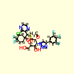 CO[C@@H]1[C@@H](n2cc(-c3cc(F)c(F)c(F)c3)nn2)[C@@H](O)[C@@H](CO)O[C@H]1SC(c1nccnc1Cl)C1(O)CCC(F)(F)CC1